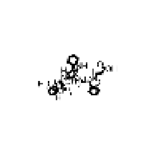 CC1(C)[C@@H]2CCC1(C)[C@H](OC(=O)N[C@](C)(Cc1c[nH]c3ccccc13)C(=O)CNC[C@H](NC(=O)CCC(=O)O)c1ccccc1)C2